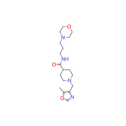 Cc1ocnc1CN1CCC(C(=O)NCCCN2CCOCC2)CC1